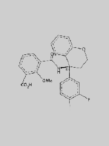 COc1c(C(=O)O)cccc1C(=O)N[C@]1(c2ccc(C)c(F)c2)CCOc2cccnc21